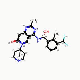 Cc1nc(N[C@H](O)c2cccc(C(F)F)c2C)c2cn(C34CCN(CC3)CC4)c(=O)cc2n1